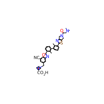 Cc1c(-c2nc3cc(CN4CC5(C(=O)O)CC4C5)cc(C#N)c3o2)cccc1-c1cccc(-c2nc3c(s2)CN(C(=O)CN(C)C)C3)c1C